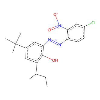 CCC(C)c1cc(C(C)(C)C)cc(/N=N/c2ccc(Cl)cc2[N+](=O)[O-])c1O